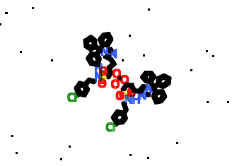 O=C(OC(CCc1cn(C(c2ccccc2)(c2ccccc2)c2ccccc2)cn1)CS(=O)(=O)NCCc1ccc(Cl)cc1)OC(CCc1cn(C(c2ccccc2)(c2ccccc2)c2ccccc2)cn1)CS(=O)(=O)NCCc1ccc(Cl)cc1